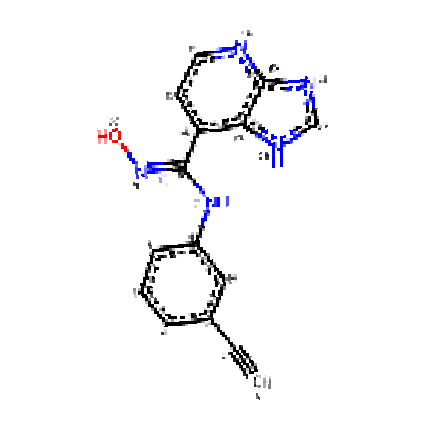 C#Cc1cccc(N/C(=N/O)c2ccnc3nc[nH]c23)c1